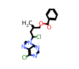 C=C(COC(=O)c1ccccc1)CC(Cl)n1cnc2c(Cl)ncnc21